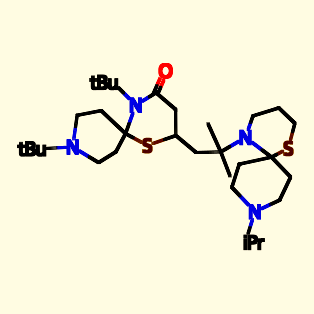 CC(C)N1CCC2(CC1)SCCCN2C(C)(C)CC1CC(=O)N(C(C)(C)C)C2(CCN(C(C)(C)C)CC2)S1